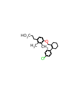 Cc1c(CCC(=O)O)ccc(OCC2=C(c3ccc(Cl)cc3)CCCC2)c1C